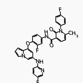 Cc1ccc(C(=O)Nc2ccc(Oc3cc(Nc4ccc(F)cn4)cn4cccc34)c(F)c2)c(=O)n1-c1ccc(F)cc1